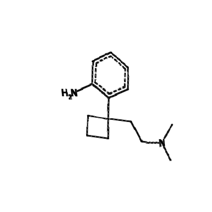 CN(C)CCC1(c2ccccc2N)CCC1